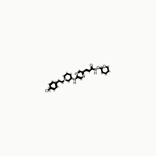 O=C(C=Cc1cnc(N[C@@H]2CCCN(CCc3ccc(Cl)cc3)C2)cn1)NOC1CCCCO1